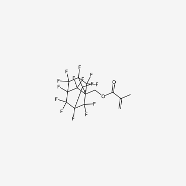 C=C(C)C(=O)OCC12C(F)(F)C3(F)C(F)(F)C(F)(C(F)(F)C(F)(C3(F)F)C1(F)F)C2(F)F